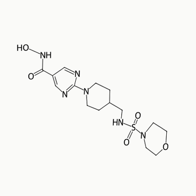 O=C(NO)c1cnc(N2CCC(CNS(=O)(=O)N3CCOCC3)CC2)nc1